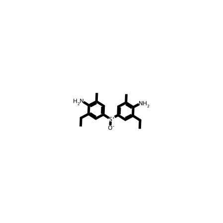 CCc1cc([S+]([O-])c2cc(C)c(N)c(CC)c2)cc(C)c1N